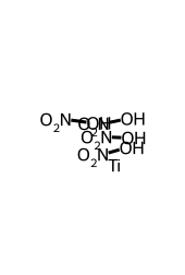 O=[N+]([O-])O.O=[N+]([O-])O.O=[N+]([O-])O.O=[N+]([O-])O.[Ti]